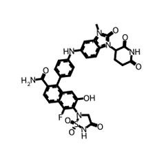 Cn1c(=O)n(C2CCC(=O)NC2=O)c2ccc(Nc3ccc(-c4c(C(N)=O)ccc5c(F)c(N6CC(=O)NS6(=O)=O)c(O)cc45)cc3)cc21